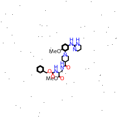 COC(=O)[C@H](CNC(=O)C1CCN(c2cc(NC3=NCCCN3)ccc2OC)CC1)NC(=O)OCc1ccccc1